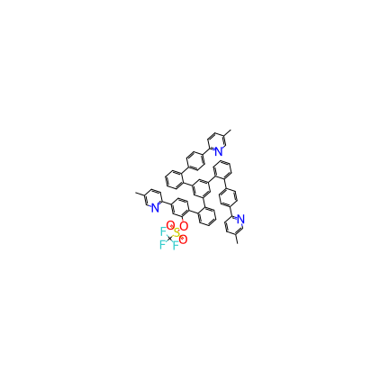 Cc1ccc(-c2ccc(-c3ccccc3-c3cc(-c4ccccc4-c4ccc(-c5ccc(C)cn5)cc4)cc(-c4ccccc4-c4ccc(-c5ccc(C)cn5)cc4OS(=O)(=O)C(F)(F)F)c3)cc2)nc1